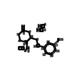 Cl.Cl.O=C(O)N1CCNCC1COc1cccc(F)c1